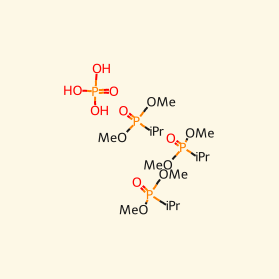 COP(=O)(OC)C(C)C.COP(=O)(OC)C(C)C.COP(=O)(OC)C(C)C.O=P(O)(O)O